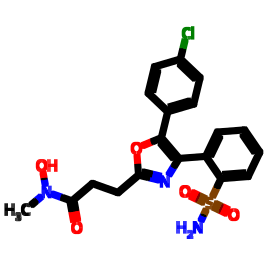 CN(O)C(=O)CCc1nc(-c2ccccc2S(N)(=O)=O)c(-c2ccc(Cl)cc2)o1